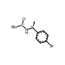 C[C@H](N[S+]([O-])C(C)(C)C)c1ccc(Br)cc1